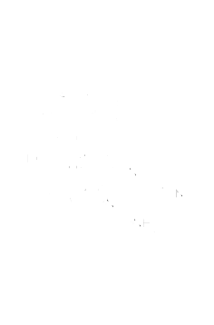 Cc1ccc(-c2nc(N)c(C#N)nc2-c2cc(Cl)c3ccccc3c2)o1